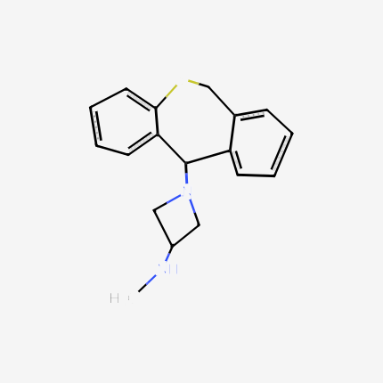 CNC1CN(C2c3ccccc3CSc3ccccc32)C1